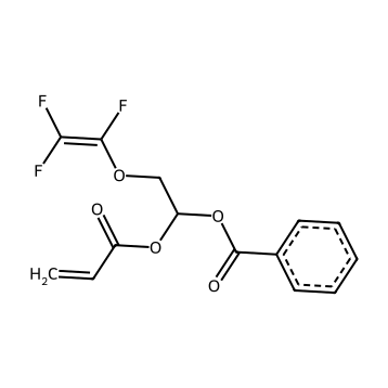 C=CC(=O)OC(COC(F)=C(F)F)OC(=O)c1ccccc1